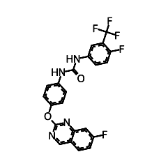 O=C(Nc1ccc(Oc2ncc3ccc(F)cc3n2)cc1)Nc1ccc(F)c(C(F)(F)F)c1